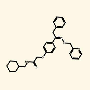 O=C(COc1ccc(/C(Cc2ccccc2)=N\OCc2ccccn2)cc1)NCC1CCOCC1